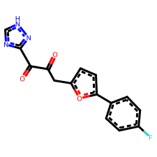 O=C(Cc1ccc(-c2ccc(F)cc2)o1)C(=O)c1nc[nH]n1